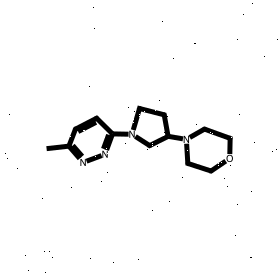 Cc1ccc(N2CCC(N3CCOCC3)C2)nn1